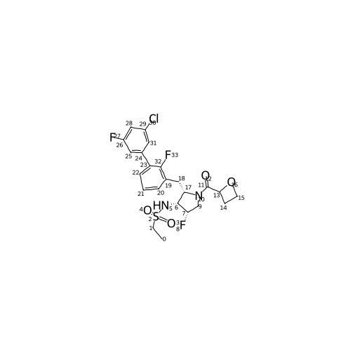 CCS(=O)(=O)N[C@H]1[C@@H](F)CN(C(=O)C2CCO2)[C@H]1Cc1cccc(-c2cc(F)cc(Cl)c2)c1F